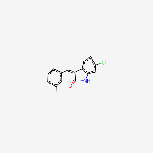 O=C1Nc2cc(Cl)ccc2C1=Cc1cccc(I)c1